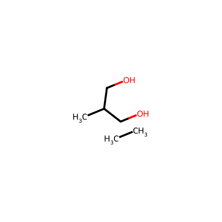 CC.CC(CO)CO